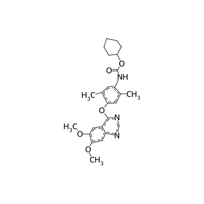 COc1cc2ncnc(Oc3cc(C)c(NC(=O)OC4CCCCC4)cc3C)c2cc1OC